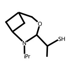 CC(S)C1OCC2CC(C2)N1C(C)C